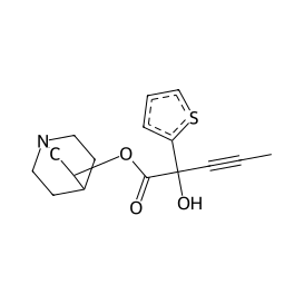 CC#CC(O)(C(=O)OC1CN2CCC1CC2)c1cccs1